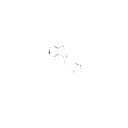 CC/C=C\C(C)CNc1ccccc1C